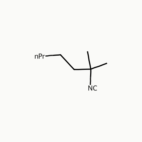 [C-]#[N+]C(C)(C)CCCCC